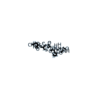 O=C1CN(NC(=O)NC(C(=O)N[C@H]2C(=O)N3C(C(=O)O)=C(CSc4ccc(Cl)n[n+]4[O-])CSC23)c2cccs2)C(=O)N1